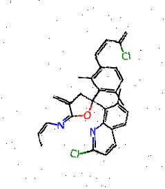 C=C(Cl)/C=C\c1ccc(C)c(C2(c3c(C)ccc4ccc(Cl)nc34)CC(=C)/C(=N\C=C/C)O2)c1C